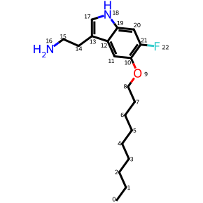 CCCCCCCCCOc1cc2c(CCN)c[nH]c2cc1F